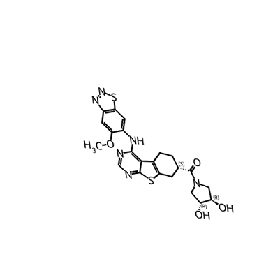 COc1cc2nnsc2cc1Nc1ncnc2sc3c(c12)CC[C@H](C(=O)N1C[C@@H](O)[C@H](O)C1)C3